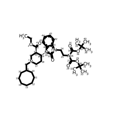 CCOC(=O)[C@@H]1CN(CC2CCCCCCC2)CC[C@H]1n1c(=O)n(CCN(C(=O)OC(C)(C)C)C(=O)OC(C)(C)C)c2ccccc21